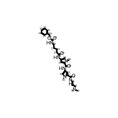 CN(C)CCCNC(=O)c1cc(NC(=O)c2cc(NC(=O)CCCCNC(=O)OCc3ccccc3)cn2C)cn1C